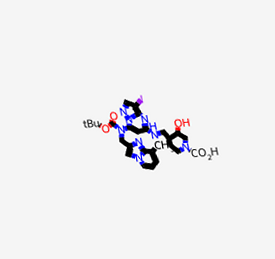 Cc1cccn2cc(CN(C(=O)OC(C)(C)C)c3cc(NCC4CCN(C(=O)O)CC4O)nc4c(I)cnn34)nc12